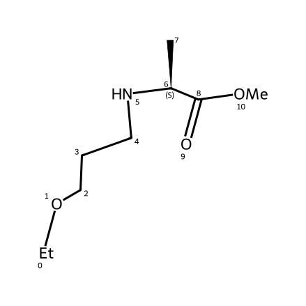 CCOCCCN[C@@H](C)C(=O)OC